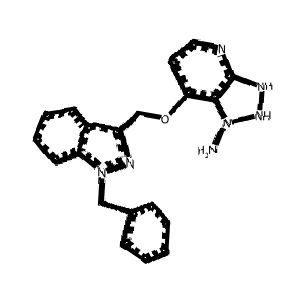 NN1NNc2nccc(OCc3nn(Cc4ccccc4)c4ccccc34)c21